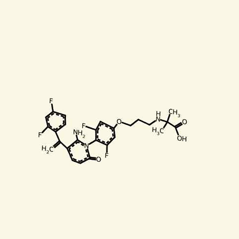 C=C(c1ccc(F)cc1F)c1ccc(=O)n(-c2c(F)cc(OCCCNC(C)(C)C(=O)O)cc2F)c1N